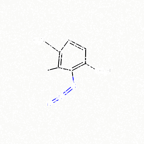 Cc1c([N+](=O)[O-])ccc(C(=O)O)c1N=[N+]=[N-]